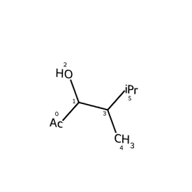 CC(=O)C(O)C(C)C(C)C